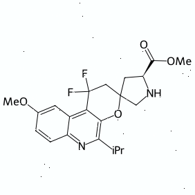 COC(=O)[C@@H]1CC2(CN1)CC(F)(F)c1c(c(C(C)C)nc3ccc(OC)cc13)O2